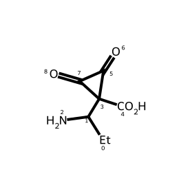 CCC(N)C1(C(=O)O)C(=O)C1=O